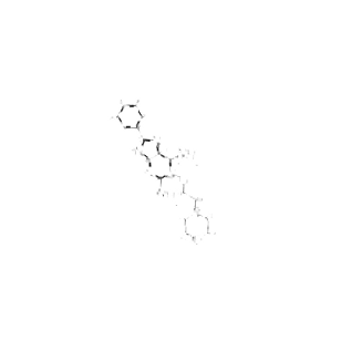 Nc1nc2nc(-c3ccccc3)nc-2c(N)n1OCCN1CCOCC1